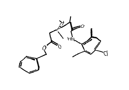 Cc1cc(Cl)cc(C)c1NC(=O)C(C)[PH](C)(C)CC(=O)OCc1ccccc1